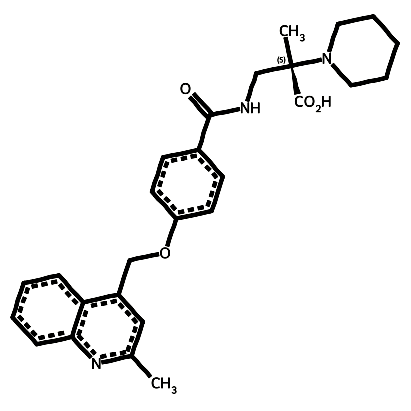 Cc1cc(COc2ccc(C(=O)NC[C@@](C)(C(=O)O)N3CCCCC3)cc2)c2ccccc2n1